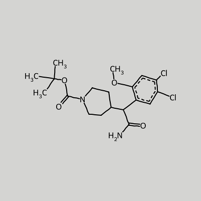 COc1cc(Cl)c(Cl)cc1C(C(N)=O)C1CCN(C(=O)OC(C)(C)C)CC1